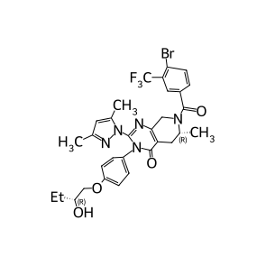 CC[C@@H](O)COc1ccc(-n2c(-n3nc(C)cc3C)nc3c(c2=O)C[C@@H](C)N(C(=O)c2ccc(Br)c(C(F)(F)F)c2)C3)cc1